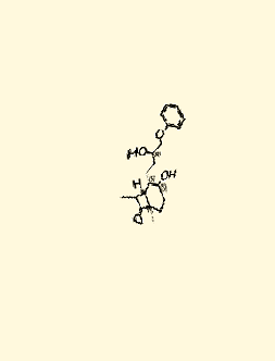 CC1C(=O)[C@]2(C)CC[C@H](O)[C@@H](CC[C@@H](O)COc3ccccc3)[C@H]12